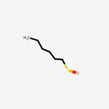 CCCCCC[S+]=O